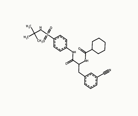 CC(C)(C)NS(=O)(=O)c1ccc(NC(=O)C(Cc2cccc(C#N)c2)NC(=O)C2CCCCC2)cc1